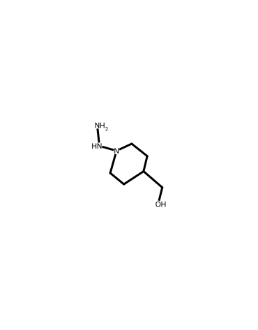 NNN1CCC(CO)CC1